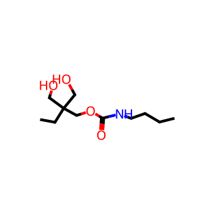 CCCCNC(=O)OCC(CC)(CO)CO